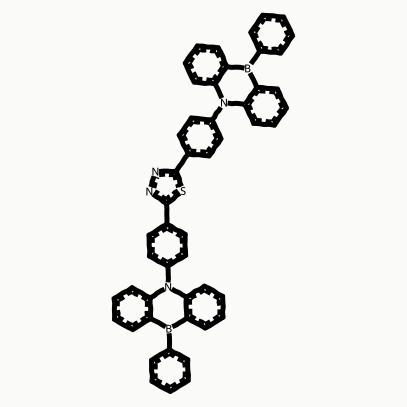 c1ccc(B2c3ccccc3N(c3ccc(-c4nnc(-c5ccc(N6c7ccccc7B(c7ccccc7)c7ccccc76)cc5)s4)cc3)c3ccccc32)cc1